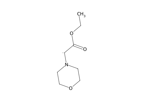 CCOC(=O)[CH]N1CCOCC1